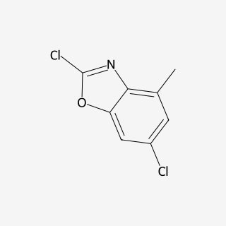 Cc1cc(Cl)cc2oc(Cl)nc12